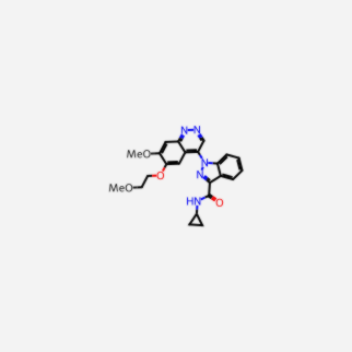 COCCOc1cc2c(-n3nc(C(=O)NC4CC4)c4ccccc43)cnnc2cc1OC